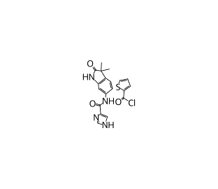 CC1(C)C(=O)Nc2cc(NC(=O)c3c[nH]cn3)ccc21.O=C(Cl)c1cccs1